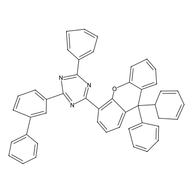 C1=CCC(C2(c3ccccc3)c3ccccc3Oc3c(-c4nc(-c5ccccc5)nc(-c5cccc(-c6ccccc6)c5)n4)cccc32)C=C1